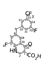 O=C(O)c1c[nH]c2c(F)cc(Cc3cc(F)cc(C(F)(F)F)c3)cc2c1=O